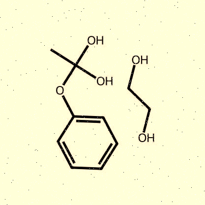 CC(O)(O)Oc1ccccc1.OCCO